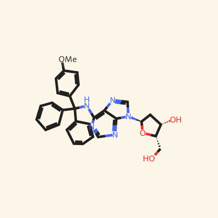 COc1ccc(C(Nc2ncnc3c2ncn3[C@H]2C[C@H](O)[C@H](CO)O2)(c2ccccc2)c2ccccc2)cc1